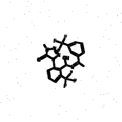 CC(=NC(O)c1c(-n2nnn(C)c2=O)cccc1C(F)(F)F)c1cccc(C(F)(F)F)c1